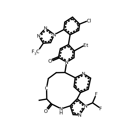 CCc1cn(C2CCCC(C)C(=O)Nc3cnn(C(F)F)c3-c3ccnc2c3)c(=O)cc1-c1cc(Cl)ccc1-n1cc(C(F)(F)F)nn1